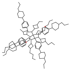 CCCCCC1CC(C(C(Cc2ccc(C3CCC(CCC)CC3)cc2)C2CC(C)C2)(C(Cc2ccc(C3CCC(CCC)CC3)cc2)C2CC(CC)C2)C(c2ccc(C3CCC(CCC)CC3)cc2)(C(Cc2ccc(C3CCC(CCC)CC3)cc2)C2CC(CCC)C2)C(Cc2ccc(C3CCC(CCC)CC3)cc2)C2CC(CCCC)C2)C1